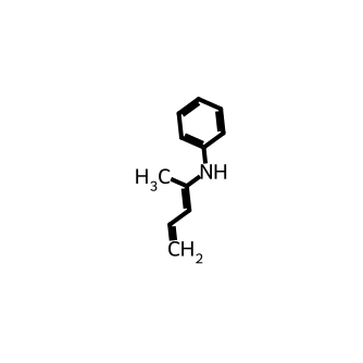 C=C/C=C(\C)Nc1ccccc1